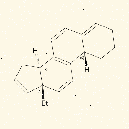 CC[C@@]12C=CC[C@H]1C1=C(C=C2)[C@H]2CCCC=C2C=C1